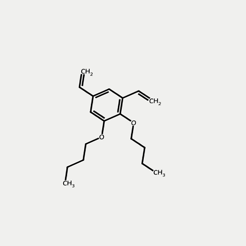 C=Cc1cc(C=C)c(OCCCC)c(OCCCC)c1